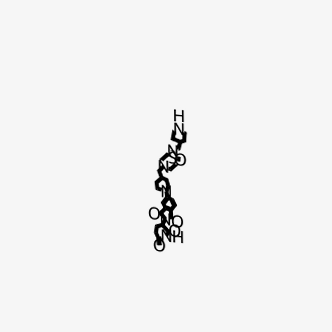 O=C1CCC(N2C(=O)c3ccc(N4CCC(CN5CCS(=O)(=NCC6CCNCC6)CC5)CC4)cc3C2=O)C(=O)N1